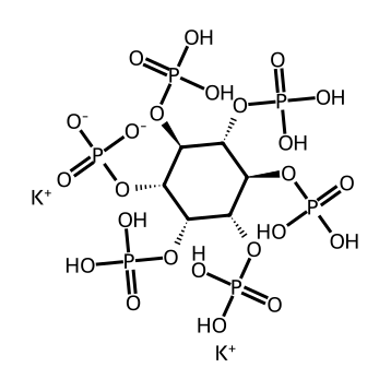 O=P([O-])([O-])O[C@@H]1[C@@H](OP(=O)(O)O)[C@H](OP(=O)(O)O)[C@@H](OP(=O)(O)O)[C@H](OP(=O)(O)O)[C@@H]1OP(=O)(O)O.[K+].[K+]